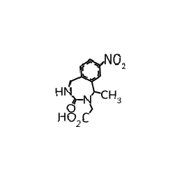 CC1c2cc([N+](=O)[O-])ccc2CNC(=O)N1CC(=O)O